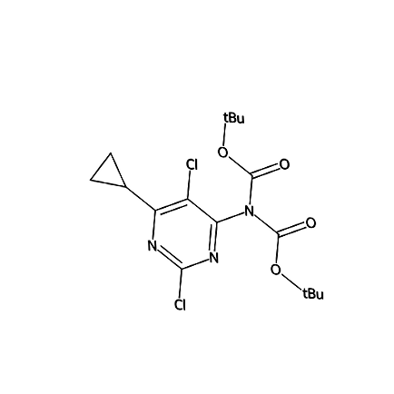 CC(C)(C)OC(=O)N(C(=O)OC(C)(C)C)c1nc(Cl)nc(C2CC2)c1Cl